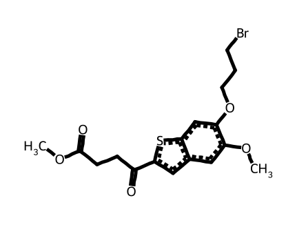 COC(=O)CCC(=O)c1cc2cc(OC)c(OCCCBr)cc2s1